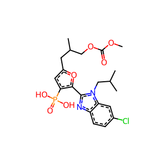 COC(=O)OCC(C)Cc1cc(P(=O)(O)O)c(-c2nc3ccc(Cl)cc3n2CC(C)C)o1